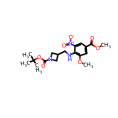 COC(=O)c1cc(OC)c(NCC2CN(C(=O)OC(C)(C)C)C2)c([N+](=O)[O-])c1